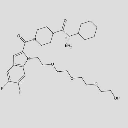 N[C@H](C(=O)N1CCN(C(=O)c2cc3cc(F)c(F)cc3n2CCOCCOCCOCCO)CC1)C1CCCCC1